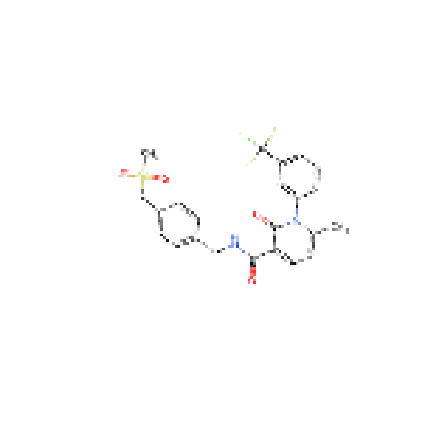 Cc1ccc(C(=O)NCc2ccc(CS(C)(=O)=O)cc2)c(=O)n1-c1cccc(C(F)(F)F)c1